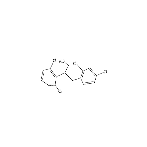 OCC(Cc1ccc(Cl)cc1Cl)c1c(Cl)cccc1Cl